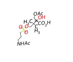 CC(=O)NCCCS(=O)(=O)OCC(C)(C)[C@@](O)(COC(C)=O)C(=O)O